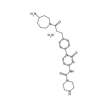 NC1CCCN(C(=O)[C@@H](N)Cc2ccc(-n3ccc(NC(=O)N4CCNCC4)nc3=O)cc2)CC1